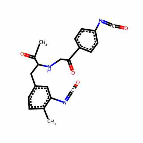 CC(=O)C(Cc1ccc(C)c(N=C=O)c1)NCC(=O)c1ccc(N=C=O)cc1